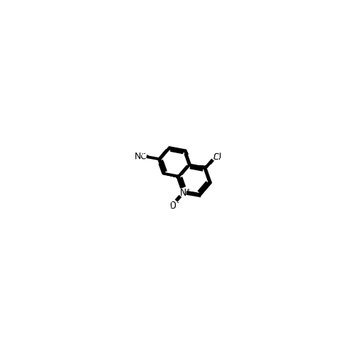 N#Cc1ccc2c(Cl)cc[n+]([O-])c2c1